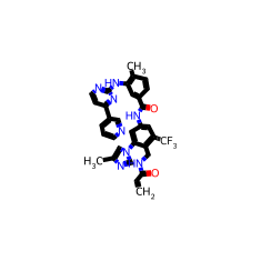 C=CC(=O)NCc1c(-n2cnc(C)c2)cc(NC(=O)c2ccc(C)c(Nc3nccc(-c4cccnc4)n3)c2)cc1C(F)(F)F